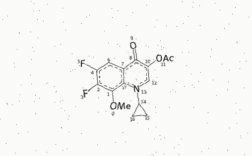 COc1c(F)c(F)cc2c(=O)c(OC(C)=O)cn(C3CC3)c12